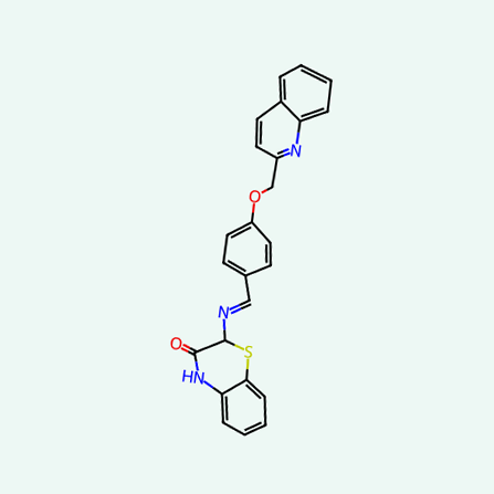 O=C1Nc2ccccc2SC1N=Cc1ccc(OCc2ccc3ccccc3n2)cc1